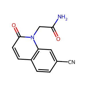 N#Cc1ccc2ccc(=O)n(CC(N)=O)c2c1